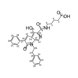 O=C(O)CCCCNC(=O)c1ncc2c(cc(-c3ccccc3)c(=O)n2CCc2ccccc2)c1O